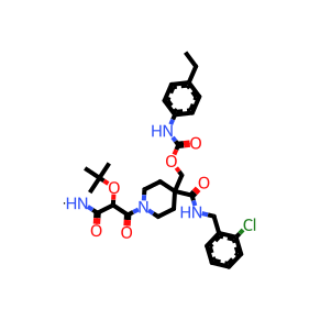 CCc1ccc(NC(=O)OCC2(C(=O)NCc3ccccc3Cl)CCN(C(=O)C(OC(C)(C)C)C([NH])=O)CC2)cc1